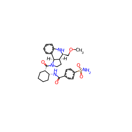 COC[C@@H]1Nc2ccccc2[C@H]2[C@@H]1CCN2C(=O)[C@H]1CCCC[C@H]1NC(=O)c1ccc(S(N)(=O)=O)cc1